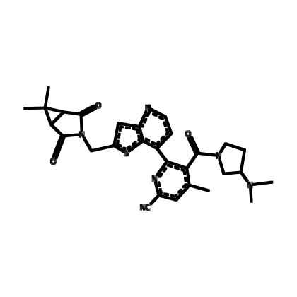 Cc1cc(C#N)nc(-c2ccnc3cc(CN4C(=O)C5C(C4=O)C5(C)C)sc23)c1C(=O)N1CCC(N(C)C)C1